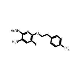 CC(=O)Nc1nc(OCCc2ccc(C(F)(F)F)cc2)c(F)cc1N